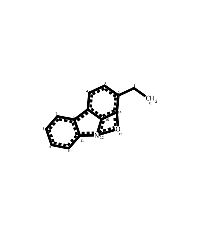 CCc1ccc2c3ccccc3n3oc1c23